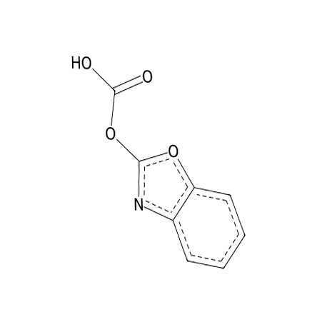 O=C(O)Oc1nc2ccccc2o1